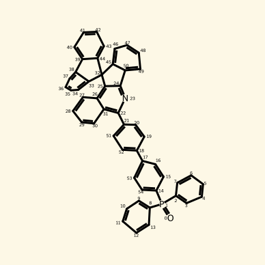 O=P(c1ccccc1)(c1ccccc1)c1ccc(-c2ccc(-c3nc4c(c5ccccc35)C3(c5ccccc5-c5ccccc53)c3ccccc3-4)cc2)cc1